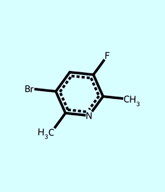 Cc1nc(C)c(Br)cc1F